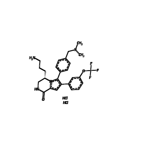 CN(C)Cc1ccc(-c2c(-c3cccc(OC(F)(F)F)c3)cc3n2[C@@H](CCCN)CNC3=O)cc1.Cl.Cl